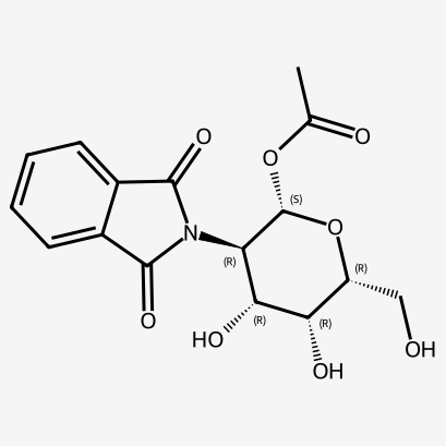 CC(=O)O[C@@H]1O[C@H](CO)[C@H](O)[C@H](O)[C@H]1N1C(=O)c2ccccc2C1=O